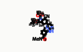 CNC(=O)c1ccc(C)c(Nc2nccc(-c3cc(C#N)c4c(c3)[C@@](C)(CO[Si](C)(C)C(C)(C)C)CN4C(=O)OC(C)(C)C)n2)c1